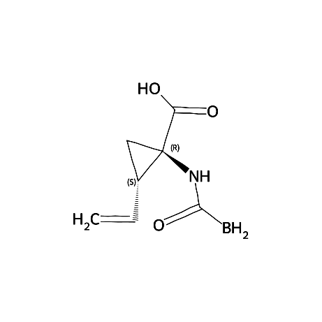 BC(=O)N[C@]1(C(=O)O)C[C@H]1C=C